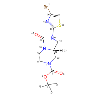 CC(C)(C)OC(=O)N1CCN2C(=O)N(c3nc(Br)cs3)C[C@@H]2C1